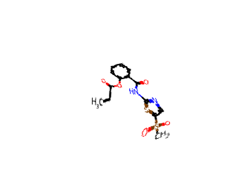 CCC(=O)Oc1ccccc1C(=O)Nc1ncc(S(C)(=O)=O)s1